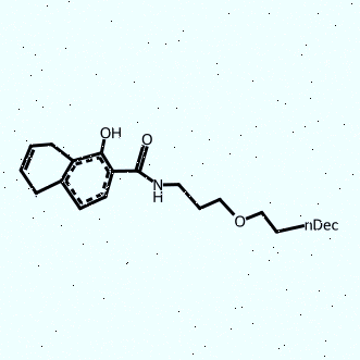 CCCCCCCCCCCCOCCCNC(=O)c1ccc2c(c1O)CC=C[CH]2